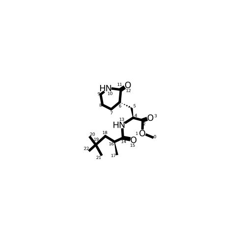 COC(=O)[C@H](C[C@@H]1CCCNC1=O)NC(=O)[C@@H](C)CC(C)(C)C